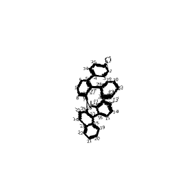 Clc1ccc(-c2cccc(-n3c4ccccc4c4c5ccccc5ccc43)c2-c2ccccc2)cc1